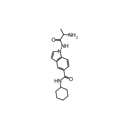 CC(N)C(=O)Nn1ccc2cc(C(=O)NC3CCCCC3)ccc21